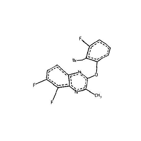 Cc1nc2c(F)c(F)ccc2nc1Oc1cccc(F)c1Br